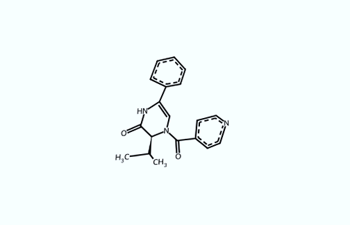 CC(C)[C@H]1C(=O)NC(c2ccccc2)=CN1C(=O)c1ccncc1